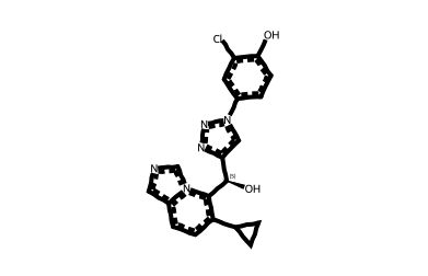 Oc1ccc(-n2cc([C@@H](O)c3c(C4CC4)ccc4cncn34)nn2)cc1Cl